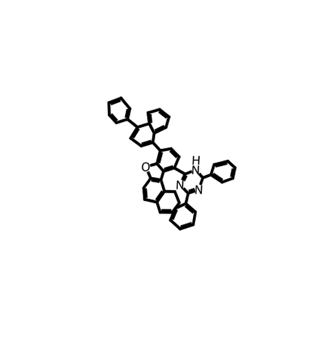 C1=Cc2ccc3oc4c(-c5ccc(-c6ccccc6)c6ccccc56)ccc(C5=NC(c6ccccc6)=NC(c6ccccc6)N5)c4c3c2CC1